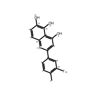 Cc1ccc(-c2cc(O)c3c(O)c(O)ccc3n2)cc1F